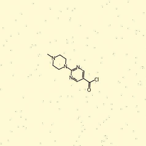 CN1CCN(c2ncc(C(=O)Cl)cn2)CC1